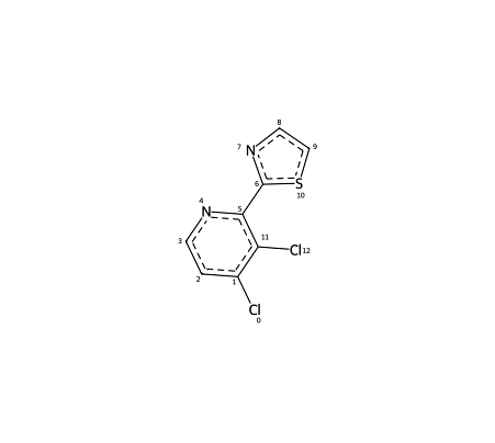 Clc1ccnc(-c2nccs2)c1Cl